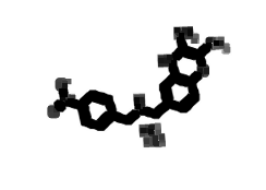 CC1=C(N)Nc2cc(CNCc3ccc([N+](=O)[O-])cc3)ccc2O1.Cl.Cl